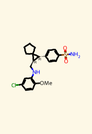 COc1ccc(Cl)cc1NC[C@@H]1[C@@H](c2ccc(S(N)(=O)=O)cc2)C12CCCC2